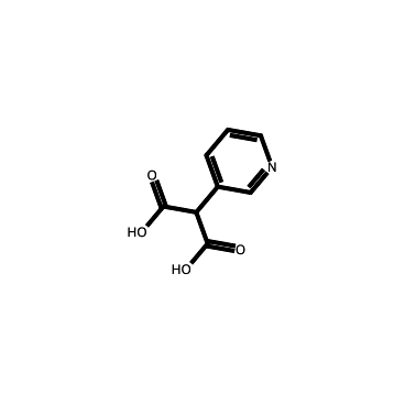 O=C(O)C(C(=O)O)c1cccnc1